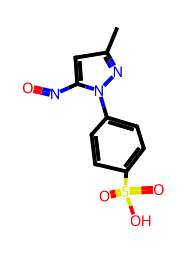 Cc1cc(N=O)n(-c2ccc(S(=O)(=O)O)cc2)n1